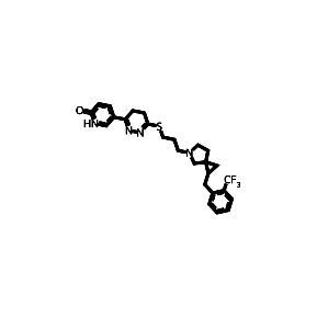 O=c1ccc(C2=NN=C(SCCCN3CCC4(CC4Cc4ccccc4C(F)(F)F)C3)CC2)c[nH]1